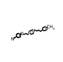 CN1CCC(CCCCN2CCN(CCCOc3ccc(C#N)cc3)CC2)CC1